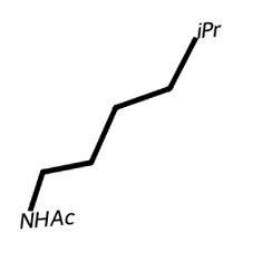 CC(=O)NCCCCC(C)C